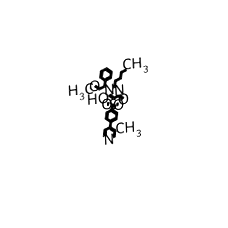 CCCCCc1nc(=O)c(S(=O)(=O)c2ccc(-c3ccncc3C)cc2)c(O)n1C(COC)c1ccccc1